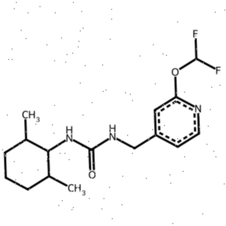 CC1CCCC(C)C1NC(=O)NCc1ccnc(OC(F)F)c1